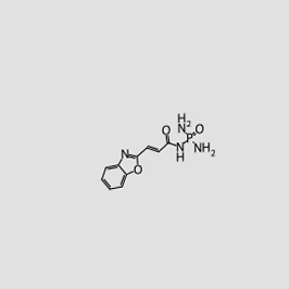 NP(N)(=O)NC(=O)C=Cc1nc2ccccc2o1